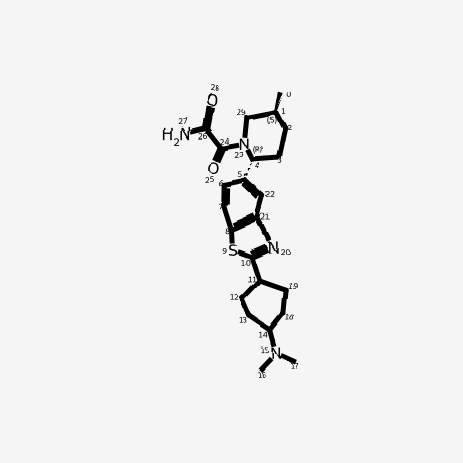 C[C@H]1CC[C@H](c2ccc3sc(C4CCC(N(C)C)CC4)nc3c2)N(C(=O)C(N)=O)C1